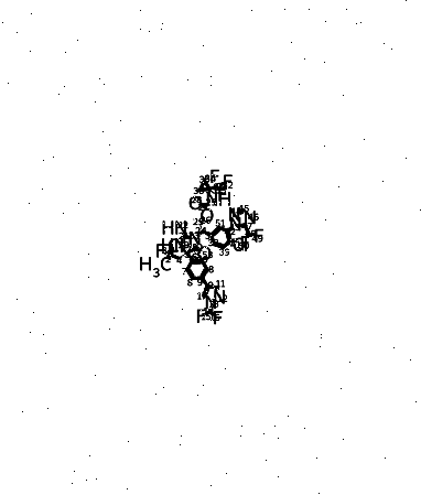 CC(C)(F)C[C@]1(c2ccc(-c3cnn(C(F)F)c3)cc2)NC(=N)N([C@H](COC(=O)NC2(C(F)(F)F)CC2)c2ccc(Cl)c(-n3ncnc3C(F)F)c2)C1=O